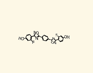 Oc1ccc(-c2noc(-c3ccc(-c4nc(-c5ccc(O)cc5F)no4)cc3)n2)c(F)c1